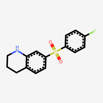 O=S(=O)(c1ccc(F)cc1)c1ccc2c(c1)NCCC2